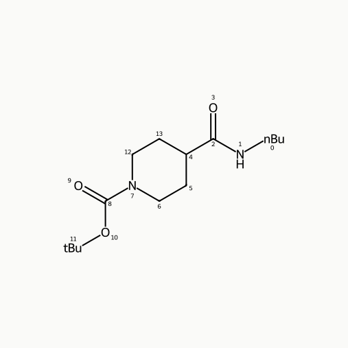 CCCCNC(=O)C1CCN(C(=O)OC(C)(C)C)CC1